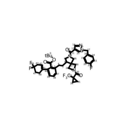 CC(C)(C)OC(=O)c1c(CCC2CN(C(=O)c3cnn(Cc4ccc(F)cc4)c3)CC23CN(C(=O)C2(C(F)(F)F)CC2)C3)cccc1C1=CCC(F)(F)CC1